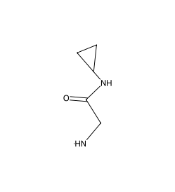 [NH]CC(=O)NC1CC1